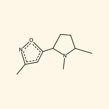 Cc1cc(C2CCC(C)N2C)on1